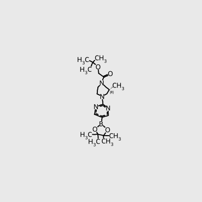 C[C@@H]1CN(c2ncc(B3OC(C)(C)C(C)(C)O3)cn2)CCN1C(=O)COC(C)(C)C